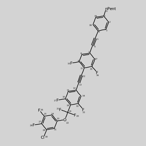 CCCCCc1ccc(C#Cc2cc(F)c(C#Cc3cc(F)c(C(F)(F)Oc4cc(F)c(F)c(Cl)c4)c(F)c3)c(F)c2)cc1